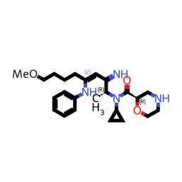 COCCCC/C(=C/C(=N)[C@@H](C)N(C(=O)[C@H]1CNCCO1)C1CC1)Nc1ccccc1